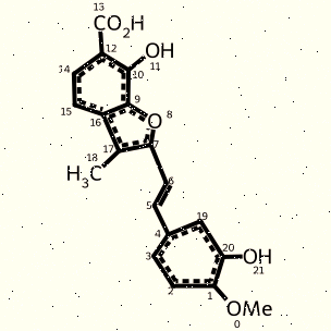 COc1ccc(/C=C/c2oc3c(O)c(C(=O)O)ccc3c2C)cc1O